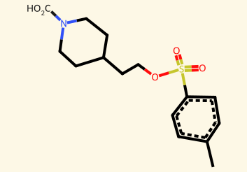 Cc1ccc(S(=O)(=O)OCCC2CCN(C(=O)O)CC2)cc1